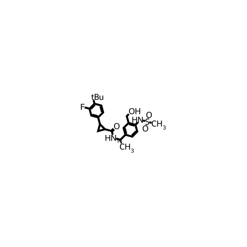 C[C@@H](NC(=O)C1CC1c1ccc(C(C)(C)C)c(F)c1)c1ccc(NS(C)(=O)=O)c(CO)c1